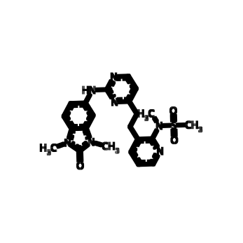 CN(c1ncccc1CCc1ccnc(Nc2ccc3c(c2)n(C)c(=O)n3C)n1)S(C)(=O)=O